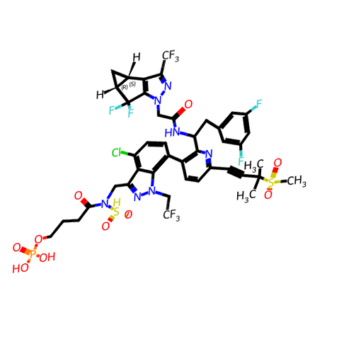 CC(C)(C#Cc1ccc(-c2ccc(Cl)c3c(CN(C(=O)CCCOP(=O)(O)O)[SH](=O)=O)nn(CC(F)(F)F)c23)c(C(Cc2cc(F)cc(F)c2)NC(=O)Cn2nc(C(F)(F)F)c3c2C(F)(F)[C@@H]2C[C@H]32)n1)S(C)(=O)=O